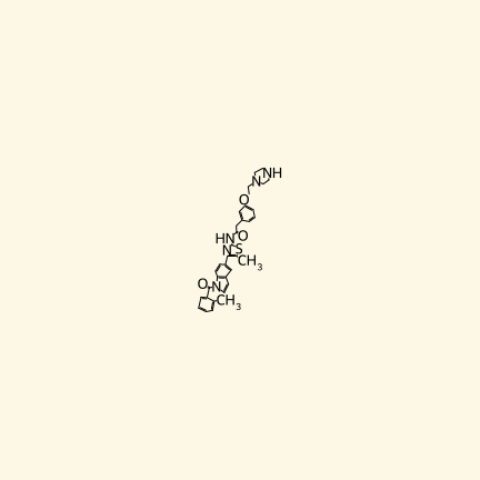 Cc1ccccc1C(=O)n1ccc2cc(-c3nc(NC(=O)Cc4cccc(OCCN5CCNCC5)c4)sc3C)ccc21